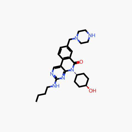 CCCCNc1ncc2c3ccc(CN4CCNCC4)cc3c(=O)n([C@H]3CC[C@H](O)CC3)c2n1